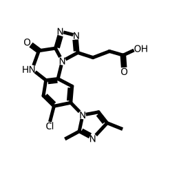 Cc1cn(-c2cc3c(cc2Cl)[nH]c(=O)c2nnc(CCC(=O)O)n23)c(C)n1